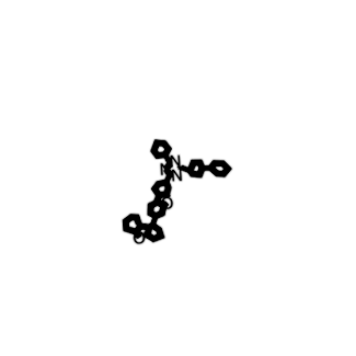 c1ccc(-c2ccc(-c3nc(-c4ccccc4)nc(-c4ccc5c(c4)oc4cc(-c6cccc7oc8ccccc8c67)ccc45)n3)cc2)cc1